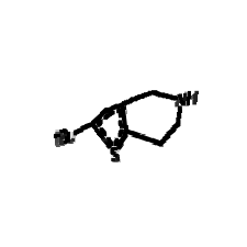 CC(C)(C)c1cc2c(s1)CCNC2